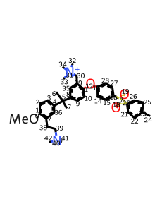 COc1ccc(C(C)(C)c2ccc(Oc3ccc(S(=O)(=O)c4ccc(C)cc4)cc3)c(C[N+](C)(C)C)c2)cc1CCN(C)C